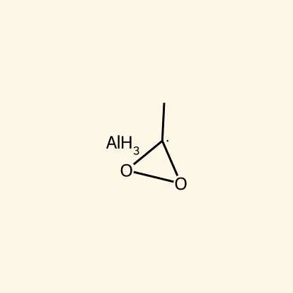 C[C]1OO1.[AlH3]